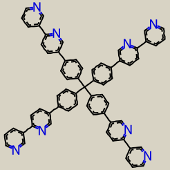 c1cncc(-c2ccc(-c3ccc(C(c4ccc(-c5ccc(-c6cccnc6)nc5)cc4)(c4ccc(-c5ccc(-c6cccnc6)nc5)cc4)c4ccc(-c5ccc(-c6cccnc6)nc5)cc4)cc3)cn2)c1